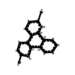 Brc1ccc2c3ccc(Br)nc3c3ccccc3c2n1